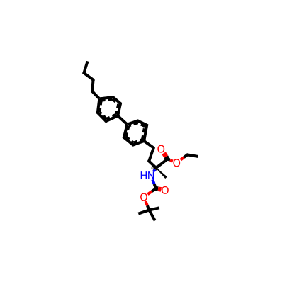 CCCCc1ccc(-c2ccc(CC[C@@](C)(NC(=O)OC(C)(C)C)C(=O)OCC)cc2)cc1